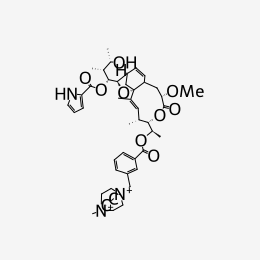 CO[C@H]1CC2C=C[C@@H]3C[C@]2(O[C@H]3[C@H](OC(=O)c2ccc[nH]2)[C@H](C)[C@H](C)O)/C(C)=C/[C@@H](C)[C@@H]([C@@H](C)OC(=O)c2cccc(C[N+]34CC[N+](C)(CC3)CC4)c2)OC1=O